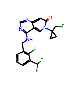 O=c1cc2ncnc(NCc3cccc(C(F)F)c3F)c2cn1C1(CF)CC1